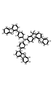 CC1(C)c2cc(N(c3ccc(-c4cccc5c4oc4ccccc45)cc3)c3ccc(-c4cccc5c4oc4ccccc45)cc3)ccc2-c2c1ccc1c2oc2ccccc21